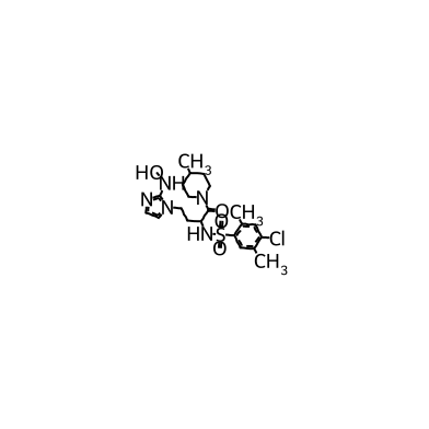 Cc1cc(S(=O)(=O)NC(CCn2ccnc2NO)C(=O)N2CCC(C)CC2)c(C)cc1Cl